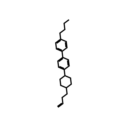 C=CCCC1CCC(c2ccc(-c3ccc(CCCC)cc3)cc2)CC1